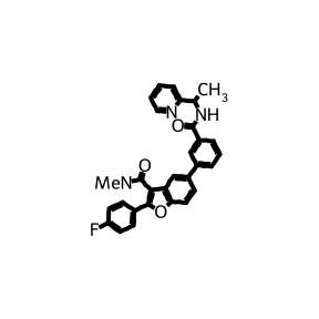 CNC(=O)c1c(-c2ccc(F)cc2)oc2ccc(-c3cccc(C(=O)NC(C)c4ccccn4)c3)cc12